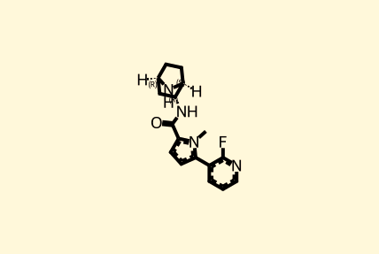 Cn1c(C(=O)N[C@@H]2C[C@H]3CC[C@@H]2N3)ccc1-c1cccnc1F